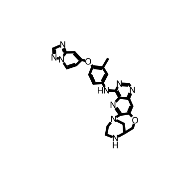 Cc1cc(Nc2ncnc3cc4c(nc23)N2CCNC(CO4)C2)ccc1Oc1ccn2ncnc2c1